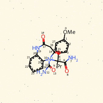 COc1ccc(C(C(N)=O)(C(C)C)[N+]2(C(N)=O)C(=O)[CH]C(=O)Nc3ccccc32)cc1